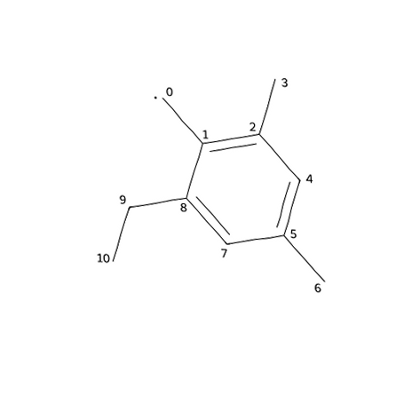 [CH2]c1c(C)cc(C)cc1CC